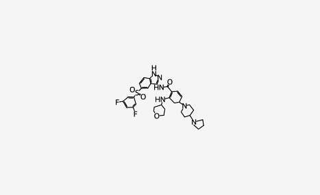 O=C(Nc1n[nH]c2ccc(S(=O)(=O)c3cc(F)cc(F)c3)cc12)C1=C(NC2CCOCC2)CC(N2CCC(N3CCCC3)CC2)C=C1